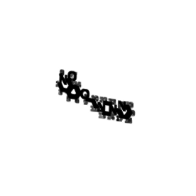 CN1CCc2ccc(OCCCN3CCN(c4ccccn4)CC3)cc2C1=O